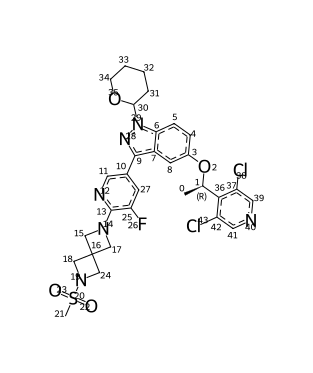 C[C@@H](Oc1ccc2c(c1)c(-c1cnc(N3CC4(C3)CN(S(C)(=O)=O)C4)c(F)c1)nn2C1CCCCO1)c1c(Cl)cncc1Cl